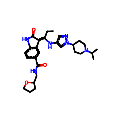 CCC(Nc1cnn(C2CCN(C(C)C)CC2)c1)=C1C(=O)Nc2ccc(C(=O)NCC3CCCO3)cc21